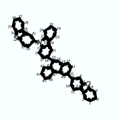 c1ccc2c(c1)oc1cc(-c3ccc4cc(-c5ccc6c(c5)c5ccccc5n6-c5ccc6sc7ccccc7c6c5)c5ccccc5c4c3)ccc12